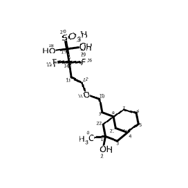 CC1(O)CC2CCCC(CCOCCC(F)(F)C(O)(O)S(=O)(=O)O)(C2)C1